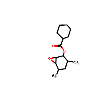 CC1CC(C)C2OC2C1OC(=O)C1CCCCC1